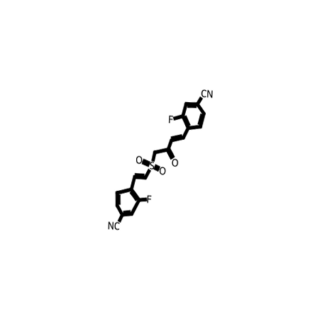 N#Cc1ccc(C=CC(=O)CS(=O)(=O)/C=C/c2ccc(C#N)cc2F)c(F)c1